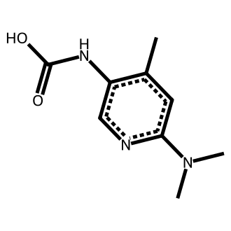 Cc1cc(N(C)C)ncc1NC(=O)O